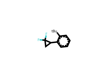 CC(C)(C)c1ccccc1C1CC1(F)F